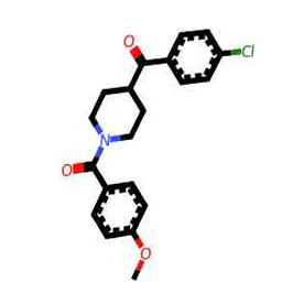 COc1ccc(C(=O)N2CCC(C(=O)c3ccc(Cl)cc3)CC2)cc1